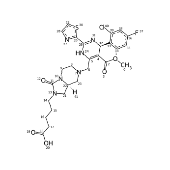 COC(=O)C1=C(CN2CCN3C(=O)N(CCCCC(=O)O)C[C@@H]3C2)NC(c2nccs2)=N[C@H]1c1ccc(F)cc1Cl